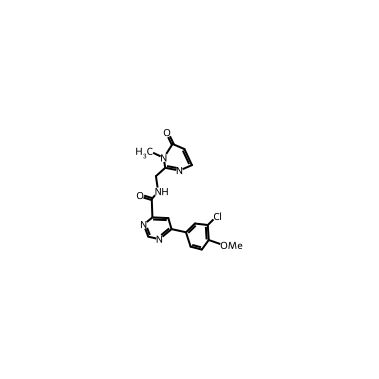 COc1ccc(-c2cc(C(=O)NCc3nccc(=O)n3C)ncn2)cc1Cl